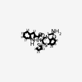 NC(=O)CN1C(=O)[C@H](NC(=O)c2cc3ccccc3[nH]2)[C@@H](c2cccs2)Sc2ccccc21